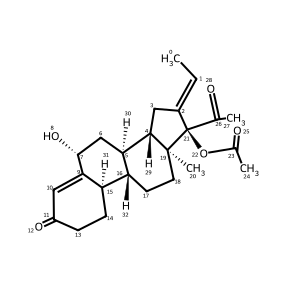 C/C=C1\C[C@H]2[C@@H]3C[C@@H](O)C4=CC(=O)CC[C@@H]4[C@H]3CC[C@]2(C)[C@@]1(OC(C)=O)C(C)=O